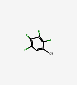 N#Cc1cc(F)c(F)c(Br)c1F